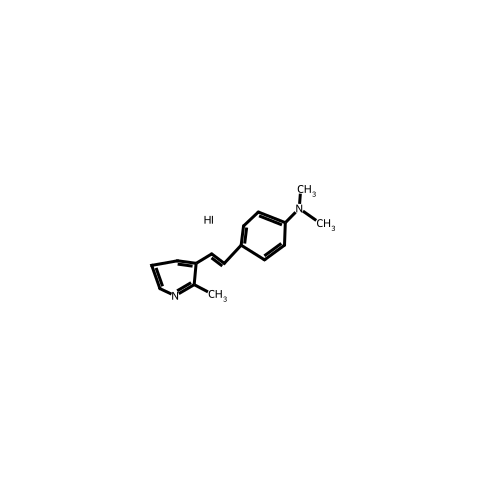 Cc1ncccc1C=Cc1ccc(N(C)C)cc1.I